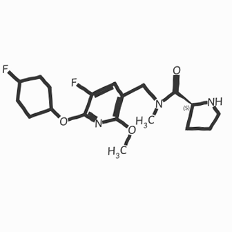 COc1nc(OC2CCC(F)CC2)c(F)cc1CN(C)C(=O)[C@@H]1CCCN1